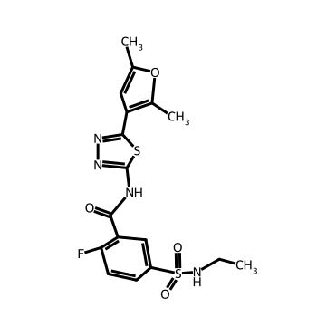 CCNS(=O)(=O)c1ccc(F)c(C(=O)Nc2nnc(-c3cc(C)oc3C)s2)c1